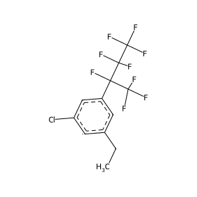 CCc1[c]c(Cl)cc(C(F)(C(F)(F)F)C(F)(F)C(F)(F)F)c1